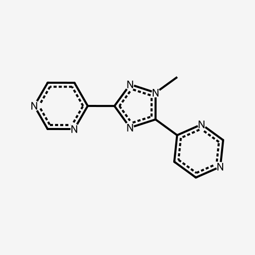 Cn1nc(-c2ccncn2)nc1-c1ccncn1